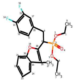 CCOP(=O)(OCC)C(Cc1ccc(F)c(F)c1)c1oc2ccccc2c1C